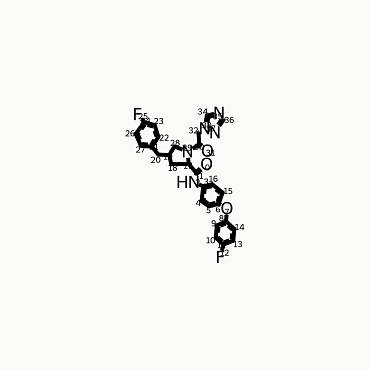 O=C(Nc1ccc(Oc2ccc(F)cc2)cc1)C1CC(Cc2ccc(F)cc2)CN1C(=O)Cn1cncn1